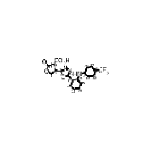 O=C(O)N1C(=O)OCC1c1nnc(-c2ccccc2Nc2ccc(C(F)(F)F)cc2)o1